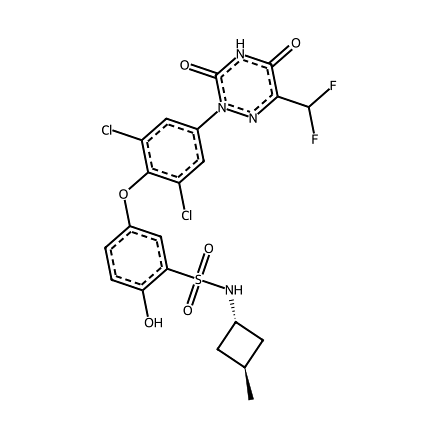 C[C@H]1C[C@H](NS(=O)(=O)c2cc(Oc3c(Cl)cc(-n4nc(C(F)F)c(=O)[nH]c4=O)cc3Cl)ccc2O)C1